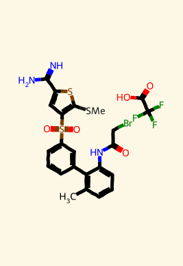 CSc1sc(C(=N)N)cc1S(=O)(=O)c1cccc(-c2c(C)cccc2NC(=O)CBr)c1.O=C(O)C(F)(F)F